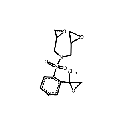 CC1(c2ccccc2S(=O)(=O)N(CC2CO2)CC2CO2)CO1